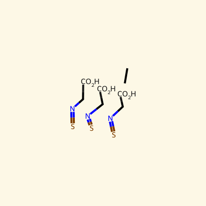 CC.O=C(O)CN=S.O=C(O)CN=S.O=C(O)CN=S